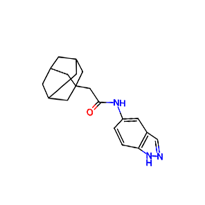 O=C(CC12CC3CC(CC(C3)C1)C2)Nc1ccc2[nH]ncc2c1